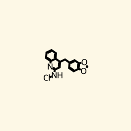 ClNc1cc(Cc2ccc3c(c2)OCO3)c2ccccc2n1